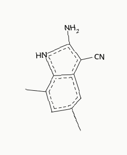 Cc1cc(C)c2[nH]c(N)c(C#N)c2c1